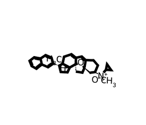 C[C@]12CC=C3C=C4CC[C@H]([N+](C)([O-])C5CC5)C[C@]45CC[C@]3(O5)[C@@H]1CC[C@@H]2c1ccc2ccccc2c1